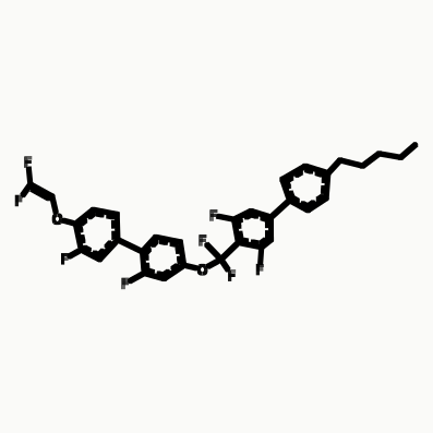 CCCCCc1ccc(-c2cc(F)c(C(F)(F)Oc3ccc(-c4ccc(OC=C(F)F)c(F)c4)c(F)c3)c(F)c2)cc1